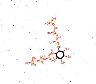 O=[PH](O)O.O=[PH](O)O.O=[PH](O)O.O=[PH](O)O.O=[PH](O)O.O=[PH](O)O.O[C@H]1[C@H](O)[C@@H](O)[C@H](O)[C@@H](O)[C@H]1O